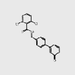 O=C1C=C(c2ccc(CNC(=O)c3c(Cl)cccc3Cl)cc2)C=CC1